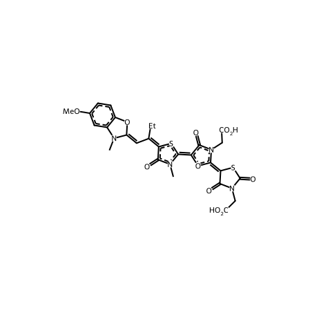 CCC(/C=C1\Oc2ccc(OC)cc2N1C)=c1\s/c(=c2/o/c(=C3/SC(=O)N(CC(=O)O)C3=O)n(CC(=O)O)c2=O)n(C)c1=O